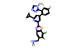 CCNCc1cc2nc(-c3cc(-c4ccc(F)cc4-c4nncn4C)cc(C4CC4)n3)oc2c(F)c1F